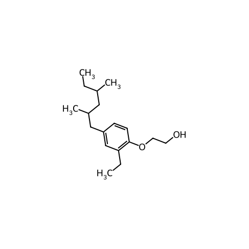 CCc1cc(CC(C)CC(C)CC)ccc1OCCO